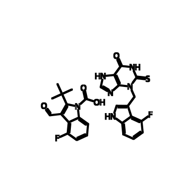 CC(C)(C)c1c(C=O)c2c(F)cccc2n1C(=O)O.O=c1[nH]c(=S)n(Cc2c[nH]c3cccc(F)c23)c2nc[nH]c12